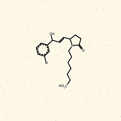 O=C(O)CCCCCCN1C(=O)CCC1C=CC(O)c1cccc(Br)c1